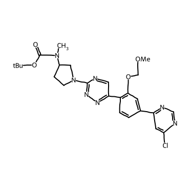 COCOc1cc(-c2cc(Cl)ncn2)ccc1-c1cnc(N2CCC(N(C)C(=O)OC(C)(C)C)C2)nn1